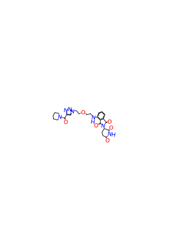 O=C1CCC(N2C(=O)c3cccc(NCCOCCn4cc(C(=O)N5CCCCC5)nn4)c3C2=O)C(=O)N1